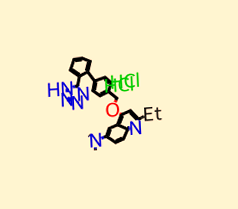 CCc1cc(OCc2ccc(-c3ccccc3-c3nnn[nH]3)cc2)c2cc(N(C)C)ccc2n1.Cl.Cl